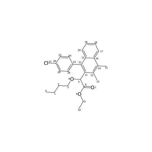 CCCCOC(C(=O)OCC)c1c(C)c(C)c2ccccc2c1-c1ccc(Cl)cc1